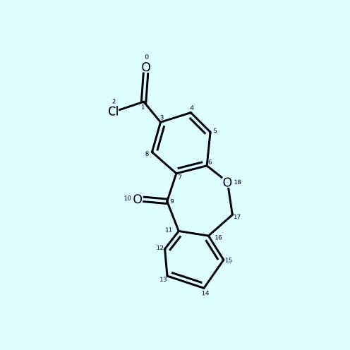 O=C(Cl)c1ccc2c(c1)C(=O)c1ccccc1CO2